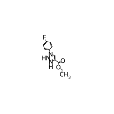 CCOC(=O)C1=CN(c2ccc(F)cc2)NN1